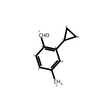 Cc1ccc(C=O)c(C2CC2)c1